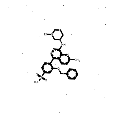 CCN1CCC[C@@H](Nc2nnc(-c3ccc(S(C)(=O)=O)cc3OCc3ccccc3)c3ccc(C)nc23)C1